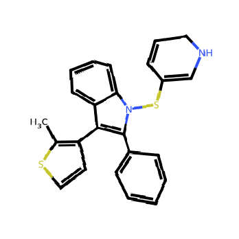 Cc1sccc1-c1c(-c2ccccc2)n(SC2=CNCC=C2)c2ccccc12